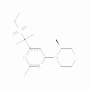 CCS(=O)(=O)C(C)(C)c1cc(N2CCOC[C@@H]2C)nc(Cl)n1